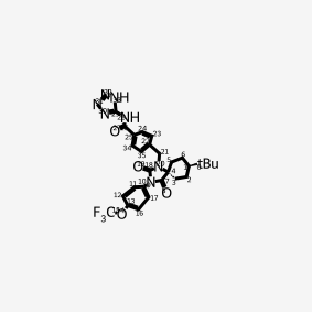 CC(C)(C)[C@H]1CC[C@]2(CC1)C(=O)N(c1ccc(OC(F)(F)F)cc1)C(=O)N2Cc1ccc(C(=O)Nc2nnn[nH]2)cc1